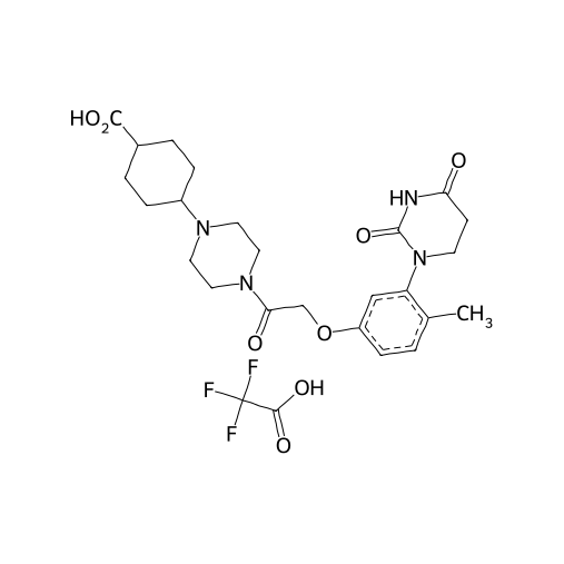 Cc1ccc(OCC(=O)N2CCN(C3CCC(C(=O)O)CC3)CC2)cc1N1CCC(=O)NC1=O.O=C(O)C(F)(F)F